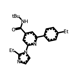 CCc1ccc(-c2cc(C(=O)NC(C)(C)C)cc(-n3ccnc3CC)n2)cc1